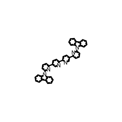 c1cc(-c2ccc(-c3ccc(-c4cccc(-n5c6ccccc6c6ccccc65)n4)cn3)nc2)nc(-n2c3ccccc3c3ccccc32)c1